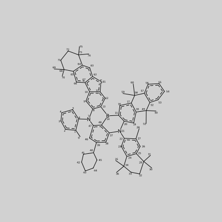 Cc1ccccc1N1c2cc3c(cc2B2c4cc5c(cc4N(c4cc6c(cc4C)C(C)(C)CCC6(C)C)c4cc(C6CCCCC6)cc1c42)C(C)(C)c1ccccc1C5(C)C)sc1cc2c(cc13)C(C)(C)CCC2(C)C